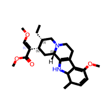 CC[C@@H]1CN2CCC3=C(NC4C3=C(OC)C=CC4C)[C@@H]2C[C@@H]1/C(=C\OC)C(=O)OC